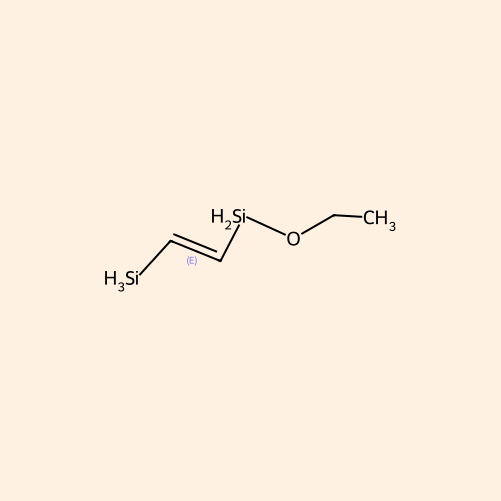 CCO[SiH2]/C=C/[SiH3]